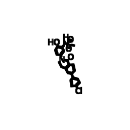 CS(=O)(=O)Nc1cc(N2CCc3cc(-c4ccc(Cl)cc4)ccc3C2=O)ccc1O